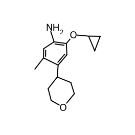 Cc1cc(N)c(OC2CC2)cc1C1CCOCC1